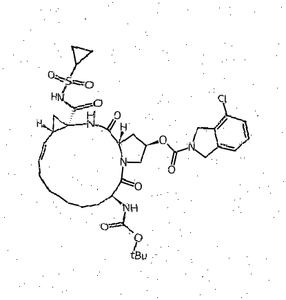 CC(C)(C)OC(=O)N[C@H]1CCCCC/C=C\[C@@H]2C[C@@]2(C(=O)NS(=O)(=O)C2CC2)NC(=O)[C@@H]2C[C@@H](OC(=O)N3Cc4cccc(Cl)c4C3)CN2C1=O